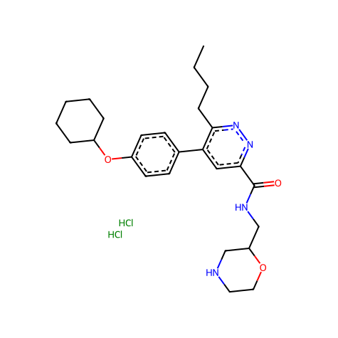 CCCCc1nnc(C(=O)NCC2CNCCO2)cc1-c1ccc(OC2CCCCC2)cc1.Cl.Cl